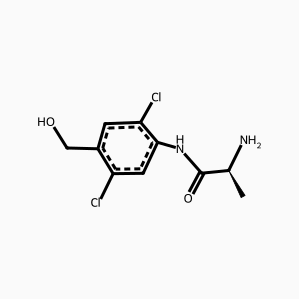 C[C@H](N)C(=O)Nc1cc(Cl)c(CO)cc1Cl